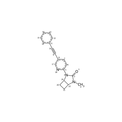 CN1C(=O)N(c2ccc(C#Cc3ccccc3)cn2)C2CCC21